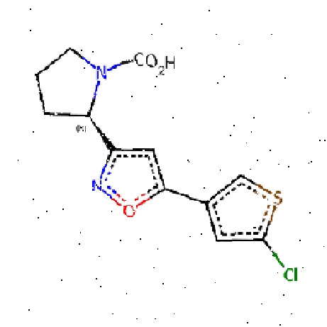 O=C(O)N1CCC[C@@H]1c1cc(-c2csc(Cl)c2)on1